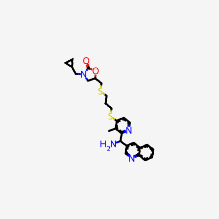 Cc1c(SCCCSCC2CN(CC3CC3)C(=O)O2)ccnc1C(N)c1cnc2ccccc2c1